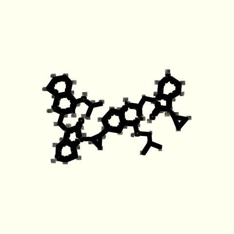 CC(C)COc1nc(Cn2c(=O)n(C3CC3)c3ccncc32)nc2ccc(C3CC3n3c(=O)n(Cc4nc(OC(C)C)c5ccccc5n4)c4cnccc43)cc12